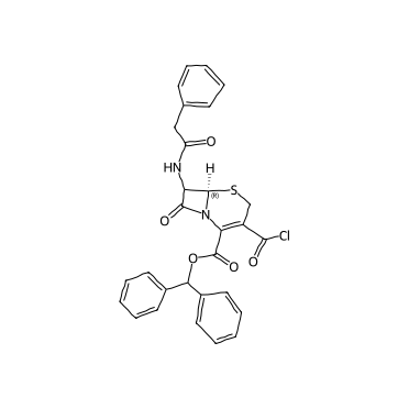 O=C(Cc1ccccc1)NC1C(=O)N2C(C(=O)OC(c3ccccc3)c3ccccc3)=C(C(=O)Cl)CS[C@H]12